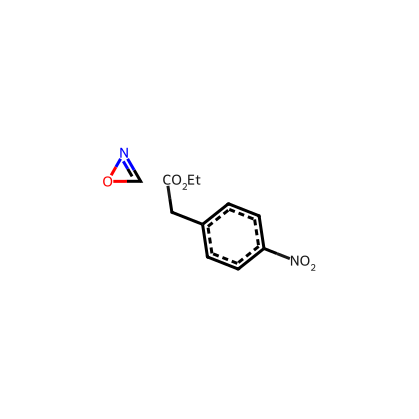 C1=NO1.CCOC(=O)Cc1ccc([N+](=O)[O-])cc1